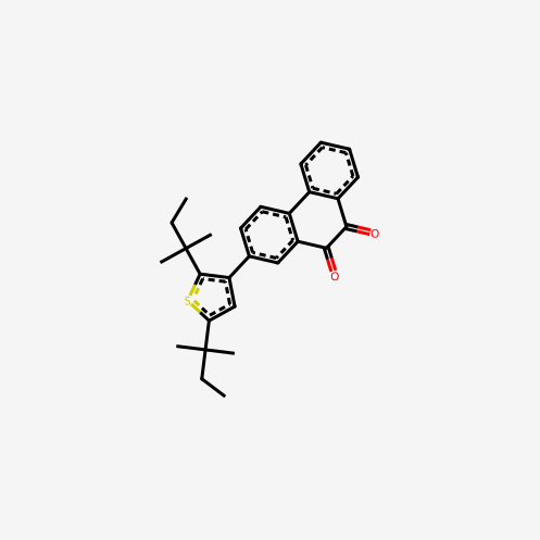 CCC(C)(C)c1cc(-c2ccc3c(c2)C(=O)C(=O)c2ccccc2-3)c(C(C)(C)CC)s1